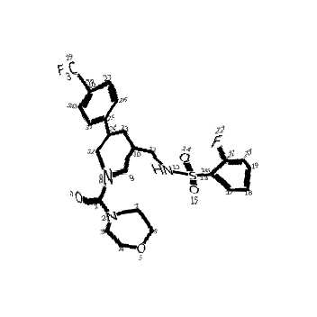 O=C(N1CCOCC1)N1CC(CNS(=O)(=O)c2ccccc2F)CC(c2ccc(C(F)(F)F)cc2)C1